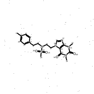 Cc1ccc(CCN(CCn2cnc3c2c(=O)n(C)c(=O)n3C)S(C)(=O)=O)cc1